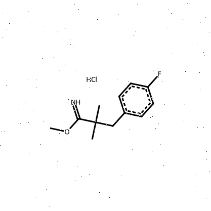 COC(=N)C(C)(C)Cc1ccc(F)cc1.Cl